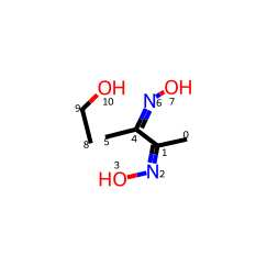 CC(=N/O)/C(C)=N\O.CCO